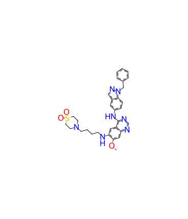 COc1cc2ncnc(Nc3ccc4c(cnn4Cc4ccccc4)c3)c2cc1NCCCCN1CCS(=O)(=O)CC1